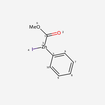 CO[C](=O)[Zn]([I])[c]1ccccc1